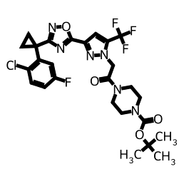 CC(C)(C)OC(=O)N1CCN(C(=O)Cn2nc(-c3nc(C4(c5cc(F)ccc5Cl)CC4)no3)cc2C(F)(F)F)CC1